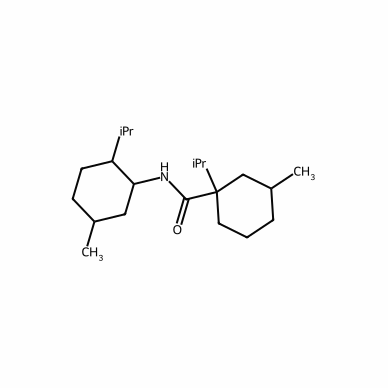 CC1CCC(C(C)C)C(NC(=O)C2(C(C)C)CCCC(C)C2)C1